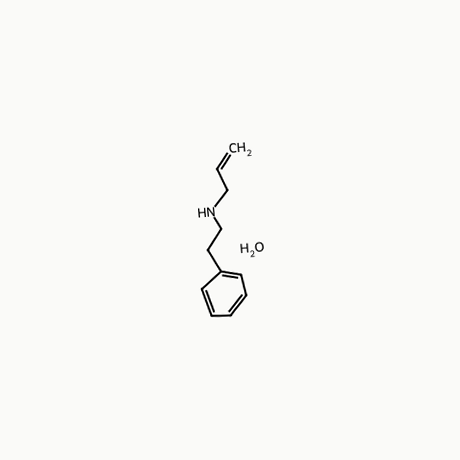 C=CCNCCc1ccccc1.O